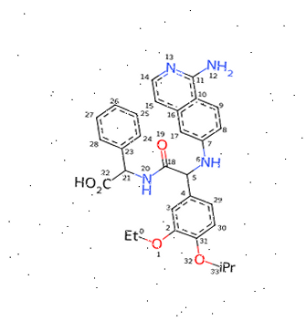 CCOc1cc(C(Nc2ccc3c(N)nccc3c2)C(=O)NC(C(=O)O)c2ccccc2)ccc1OC(C)C